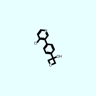 OC1(c2ccc(-c3cnccc3Cl)cc2)COC1